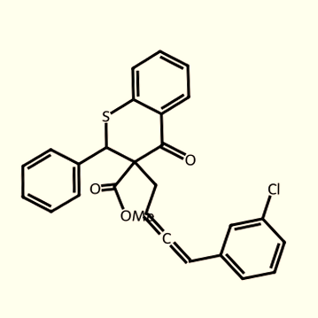 COC(=O)C1(CC=C=Cc2cccc(Cl)c2)C(=O)c2ccccc2SC1c1ccccc1